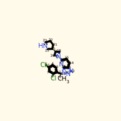 C[C@H](c1ccc(Cl)cc1Cl)n1nnc2ccc(N3CC([C@H]4CCCNC4)C3)nc21